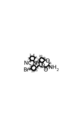 N#Cc1ccccc1-n1nc(CN2C(=O)C(N)COc3ccccc32)c2ccc(Br)cc21